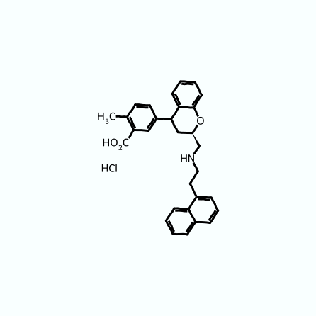 Cc1ccc(C2C[C@H](CNCCc3cccc4ccccc34)Oc3ccccc32)cc1C(=O)O.Cl